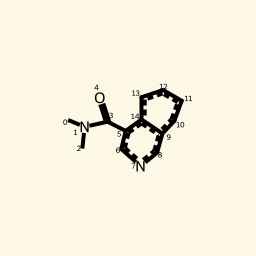 CN(C)C(=O)c1cncc2ccccc12